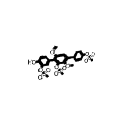 COc1cc(-c2ccc(OS(C)(=O)=O)cc2)c(OC)c(OS(C)(=O)=O)c1-c1ccc(O)c(OS(C)(=O)=O)c1